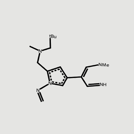 C=Nn1cc(/C(C=N)=C/NC)cc1CN(C)CC(C)(C)C